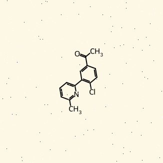 CC(=O)c1ccc(Cl)c(-c2cccc(C)n2)c1